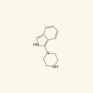 c1ccc2c(N3CCNCC3)[nH]cc2c1